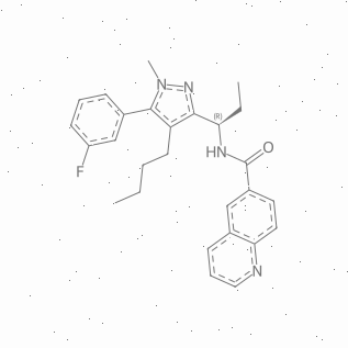 CCCCc1c([C@@H](CC)NC(=O)c2ccc3ncccc3c2)nn(C)c1-c1cccc(F)c1